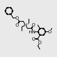 CCOC(=O)c1cc(OC)cc(C)c1NC(=O)C[N+](CC)(CC)CC(=O)OCc1ccccc1